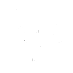 CCC(C)c1nc(OC(C(F)(F)F)C(F)(F)F)nc(N(CC)CC)n1